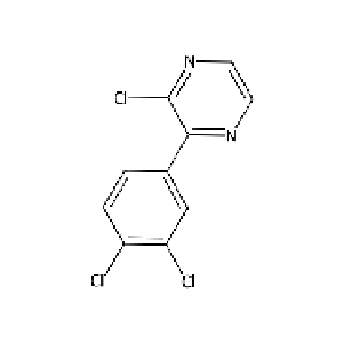 Clc1ccc(-c2nccnc2Cl)cc1Cl